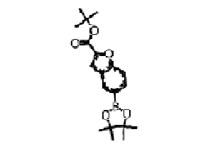 CC(C)(C)OC(=O)c1cc2cc(B3OC(C)(C)C(C)(C)O3)ccc2o1